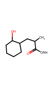 COC(=O)C(C)CC1CCCCC1O